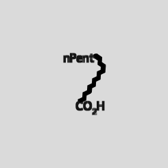 CCCCC/C=C\C/C=C\CCCC/C=C/CCCC(=O)O